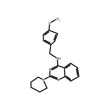 FC(F)(F)Oc1ccc(CNc2nc(N3CCCCC3)nc3ccccc23)cc1